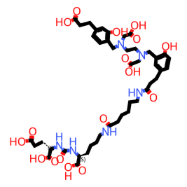 O=C(O)CCc1ccc(CN(CCN(CC(=O)O)Cc2cc(CCC(=O)NCCCCCC(=O)NCCCC[C@H](NC(=O)N[C@@H](CCC(=O)O)C(=O)O)C(=O)O)ccc2O)CC(=O)O)c(O)c1